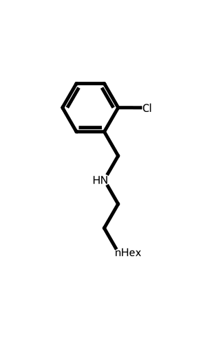 CCCCCCCCNCc1ccccc1Cl